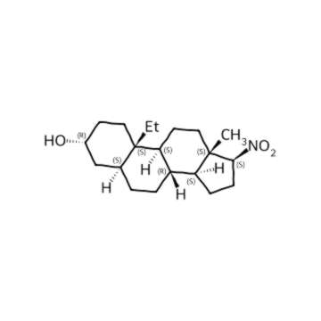 CC[C@]12CC[C@@H](O)C[C@@H]1CC[C@H]1[C@@H]3CC[C@H]([N+](=O)[O-])[C@@]3(C)CC[C@@H]12